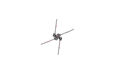 CCCCCCCCC=CCCCCCCCCN1CCCN=C1CN(CCN(CC1=NCCCN1CCCCCCCCC=CCCCCCCCC)CC1=NCCCN1CCCCCCCCC=CCCCCCCCC)CC1=NCCCN1CCCCCCCCC=CCCCCCCCC